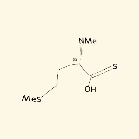 CN[C@@H](CCSC)C(O)=S